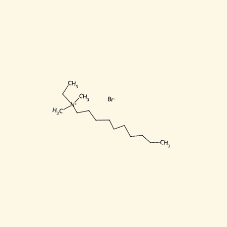 CCCCCCCCCC[N+](C)(C)CC.[Br-]